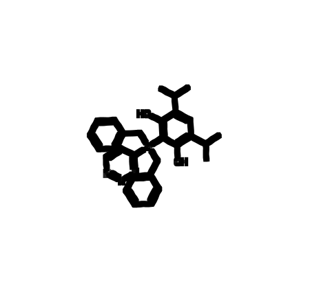 CC(C)c1cc(C(C)C)c(O)[c]([Zr]([CH2]c2ccccc2)([CH2]c2ccccc2)[c]2ccnnn2)c1O